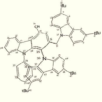 CC(C)(C)c1ccc2c(c1)c1cc(C(C)(C)C)ccc1n2Cc1cc(C#N)c2c3ccccc3n(-c3ccccc3)c2c1-n1c2ccc(C(C)(C)C)cc2c2cc(C(C)(C)C)ccc21